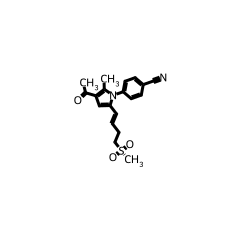 CC(=O)c1cc(C=CCCS(C)(=O)=O)n(-c2ccc(C#N)cc2)c1C